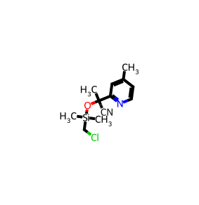 Cc1ccnc(C(C)(C#N)O[Si](C)(C)CCl)c1